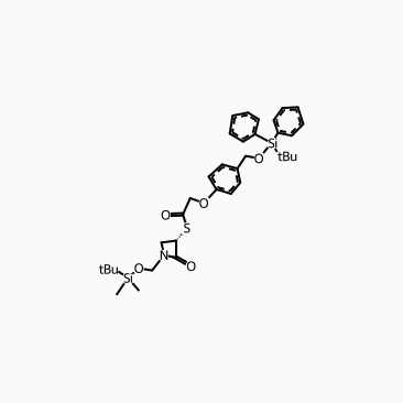 CC(C)(C)[Si](C)(C)OCN1C[C@H](SC(=O)COc2ccc(CO[Si](c3ccccc3)(c3ccccc3)C(C)(C)C)cc2)C1=O